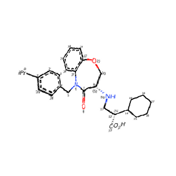 CC(C)c1ccc(CN2C(=O)[C@@H](NC[C@@H](C(=O)O)C3CCCCC3)COc3ccccc32)cc1